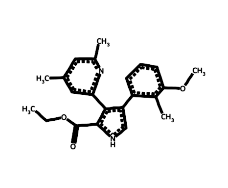 CCOC(=O)c1[nH]cc(-c2cccc(OC)c2C)c1-c1cc(C)cc(C)n1